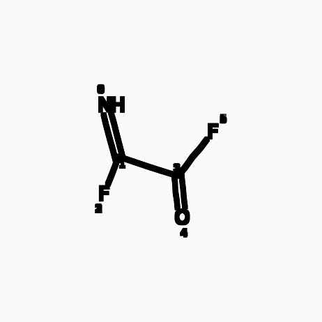 N=C(F)C(=O)F